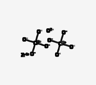 [O-2].[O-][Cl+3]([O-])([O-])[O-].[O-][Cl+3]([O-])([O-])[O-].[Zr+4]